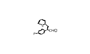 O=CC(=CC1C=CC=CS1)c1ccc(F)cc1